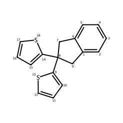 [CH]1c2ccccc2CC1(c1cccs1)c1cccs1